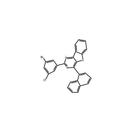 Clc1cc(Br)cc(-c2nc(-c3cccc4ccccc34)c3sc4ccccc4c3n2)c1